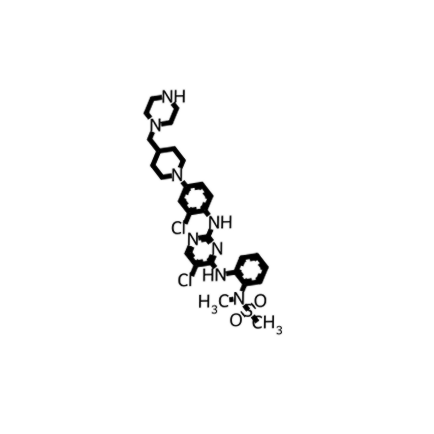 CN(c1ccccc1Nc1nc(Nc2ccc(N3CCC(CN4CCNCC4)CC3)cc2Cl)ncc1Cl)S(C)(=O)=O